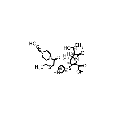 CCSC(C(=O)N1CCN(CCO)CC1)[C@@H]1C[C@H](SC2=C(C(=O)O)N3C(=O)[C@H]([C@@H](C)O)[C@H]3[C@H]2C)CN1